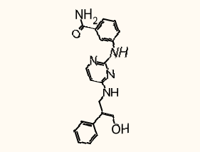 NC(=O)c1cccc(Nc2nccc(NCC(CO)c3ccccc3)n2)c1